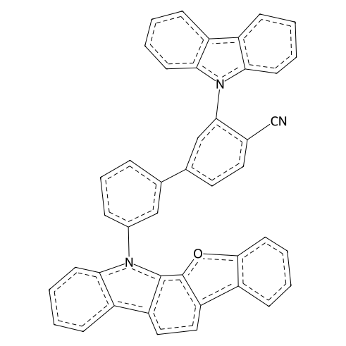 N#Cc1ccc(-c2cccc(-n3c4ccccc4c4ccc5c6ccccc6oc5c43)c2)cc1-n1c2ccccc2c2ccccc21